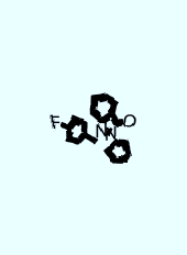 O=c1c2ccccc2n(Cc2ccc(F)cc2)n1-c1ccccc1